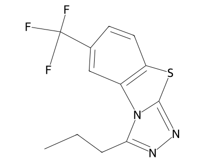 CCCc1nnc2sc3ccc(C(F)(F)F)cc3n12